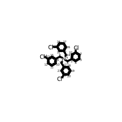 Clc1cccc(C[N+](Cc2cccc(Cl)c2)(Cc2cccc(Cl)c2)Cc2cccc(Cl)c2)c1